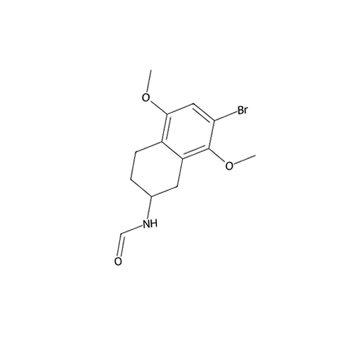 COc1cc(Br)c(OC)c2c1CCC(NC=O)C2